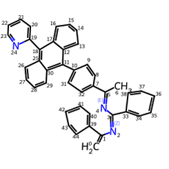 C=C(/N=C(\N=C(/C)c1ccc(-c2c3ccccc3c(-c3ccccn3)c3ccccc23)cc1)c1ccccc1)c1ccccc1